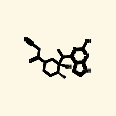 C[C@@H]1CCN(C(=O)CC#N)C[C@]1(O)N(C)c1nc(O)nc2[nH]ccc12